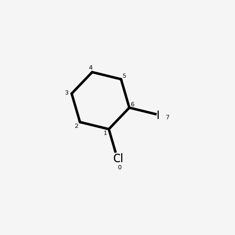 ClC1CCCCC1I